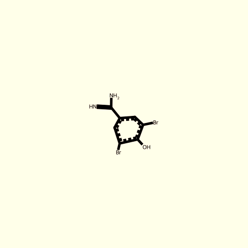 N=C(N)c1cc(Br)c(O)c(Br)c1